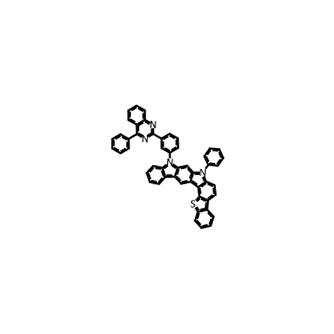 c1ccc(-c2nc(-c3cccc(-n4c5ccccc5c5cc6c7c8sc9ccccc9c8ccc7n(-c7ccccc7)c6cc54)c3)nc3ccccc23)cc1